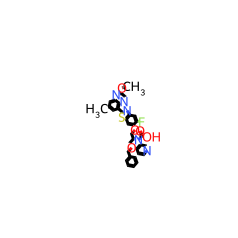 COc1cnc2c(-c3nc4cc(F)c(OCC(COCc5ccccc5)N(C(=O)O)c5cccnc5)cc4s3)cc(C)cc2n1